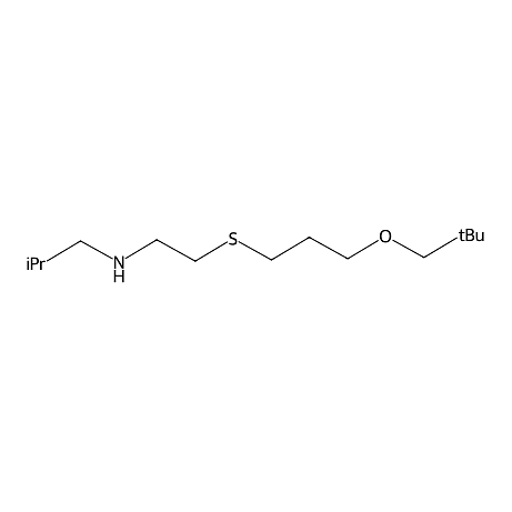 CC(C)CNCCSCCCOCC(C)(C)C